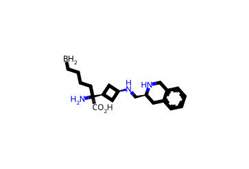 BCCCCC(N)(C(=O)O)[C@H]1C[C@@H](NC[C@@H]2Cc3ccccc3CN2)C1